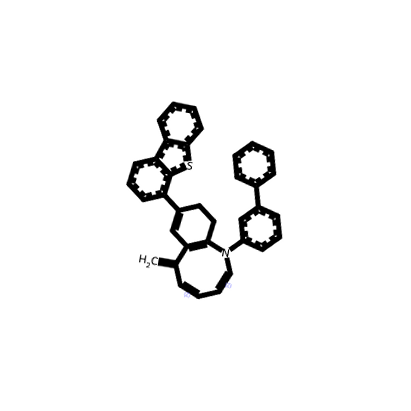 C=C1/C=C\C=C/N(c2cccc(-c3ccccc3)c2)C2=C1C=C(c1cccc3c1sc1ccccc13)CC2